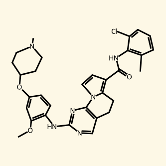 COc1cc(OC2CCN(C)CC2)ccc1Nc1ncc2c(n1)-n1ccc(C(=O)Nc3c(C)cccc3Cl)c1CC2